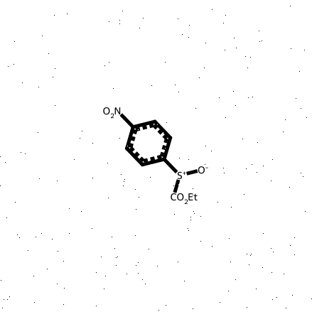 CCOC(=O)[S+]([O-])c1ccc([N+](=O)[O-])cc1